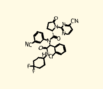 N#Cc1cccc(N(C(=O)[C@@H]2CCC(=O)N2c2nccc(C#N)n2)[C@H](C(=O)NC2CCC(F)(F)CC2)c2ccccc2Cl)c1